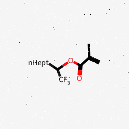 C=C(C)C(=O)OC(CCCCCCC)C(F)(F)F